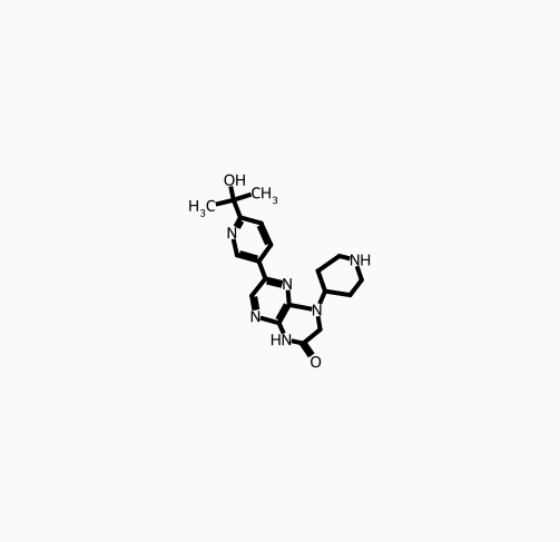 CC(C)(O)c1ccc(-c2cnc3c(n2)N(C2CCNCC2)CC(=O)N3)cn1